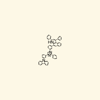 C1=C(c2ccccc2)c2c(c(-c3cccc(-c4cc(-c5cccc(-n6c7ccccc7c7ccccc76)c5)nc(-c5ccccc5)n4)c3)cc3ccccc23)NC1c1ccccc1